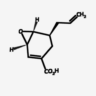 C=CC[C@H]1CC(C(=O)O)=C[C@H]2O[C@@H]12